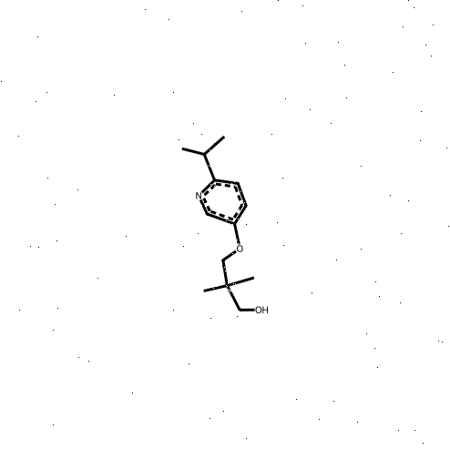 CC(C)c1ccc(OCC(C)(C)CO)cn1